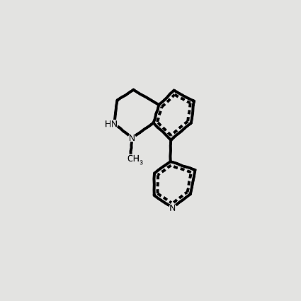 CN1NCCc2cccc(-c3ccncc3)c21